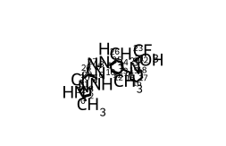 Cc1cc(Nc2nc(Nc3cc(C)c(C4CCCCN4C[C@@H](O)C(F)(F)F)cc3C)ncc2Cl)n[nH]1